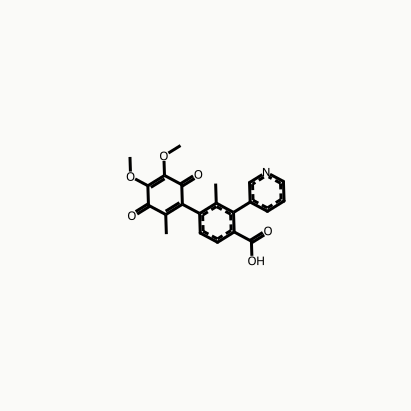 COC1=C(OC)C(=O)C(c2ccc(C(=O)O)c(-c3cccnc3)c2C)=C(C)C1=O